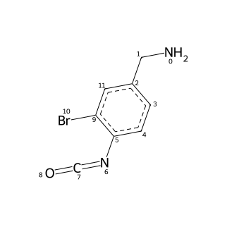 NCc1ccc(N=C=O)c(Br)c1